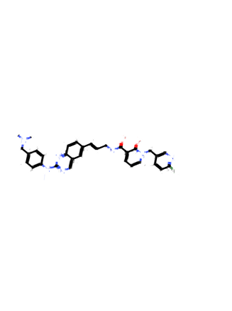 CN(C)Cc1ccc(Nc2ncc3cc(C=CCNC(=O)c4cccn(Cc5ccc(Cl)nc5)c4=O)ccc3n2)cc1